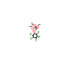 CCO[Si](COc1c(F)c(F)c(F)c(F)c1F)(OCC)OCC